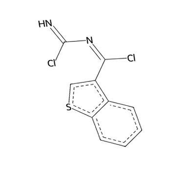 N=C(Cl)/N=C(/Cl)c1csc2ccccc12